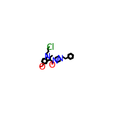 COc1ccc2c(c1)c(C(=O)N1CCN(CCc3ccccc3)CC1)c(C)n2CCCCl